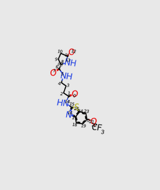 O=C(CCCNC(=O)[C@H]1CCC(=O)N1)Nc1nc2ccc(OC(F)(F)F)cc2s1